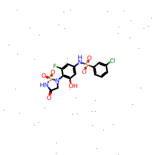 O=C1CN(c2c(O)cc(NS(=O)(=O)c3cccc(Cl)c3)cc2F)S(=O)(=O)N1